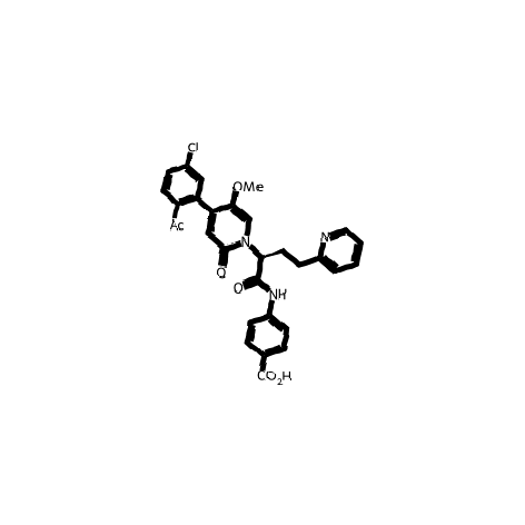 COc1cn([C@@H](CCc2ccccn2)C(=O)Nc2ccc(C(=O)O)cc2)c(=O)cc1-c1cc(Cl)ccc1C(C)=O